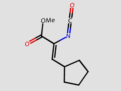 COC(=O)C(=CC1CCCC1)N=C=O